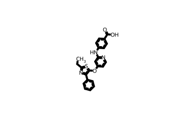 CCc1nc(-c2ccccc2)c(Oc2ccnc(Nc3ccc(C(=O)O)cc3)c2)s1